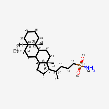 CC[C@H]1CC2C3CC[C@H]([C@H](C)CCCS(N)(=O)=O)[C@@]3(C)CCC2[C@@]2(C)CCCC[C@@H]12